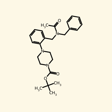 CC(=O)N(Cc1ccccc1)Cc1ccccc1N1CCN(C(=O)OC(C)(C)C)CC1